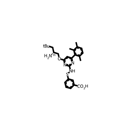 Cc1ccc(C)c(-c2cc(OC[C@H](N)CC(C)(C)C)nc(NSc3cccc(C(=O)O)c3)n2)c1C